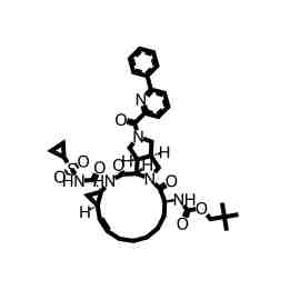 CC(C)(C)COC(=O)N[C@H]1CCCCC/C=C\[C@H]2C[C@@]2(C(=O)NS(=O)(=O)C2CC2)NC(=O)[C@@H]2[C@H]3CN(C(=O)c4cccc(-c5ccccc5)n4)C[C@H]3CN2C1=O